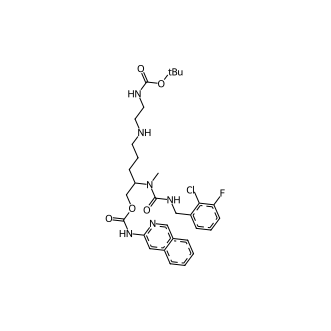 CN(C(=O)NCc1cccc(F)c1Cl)C(CCCNCCNC(=O)OC(C)(C)C)COC(=O)Nc1cc2ccccc2cn1